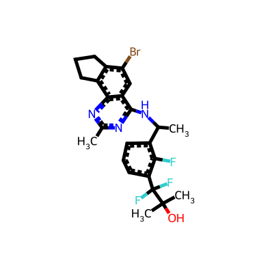 Cc1nc(NC(C)c2cccc(C(F)(F)C(C)(C)O)c2F)c2cc(Br)c3c(c2n1)CCC3